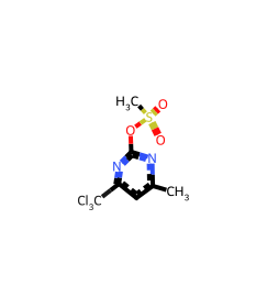 Cc1cc(C(Cl)(Cl)Cl)nc(OS(C)(=O)=O)n1